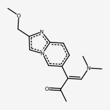 COCc1cn2cc(/C(=C\N(C)C)C(C)=O)ccc2n1